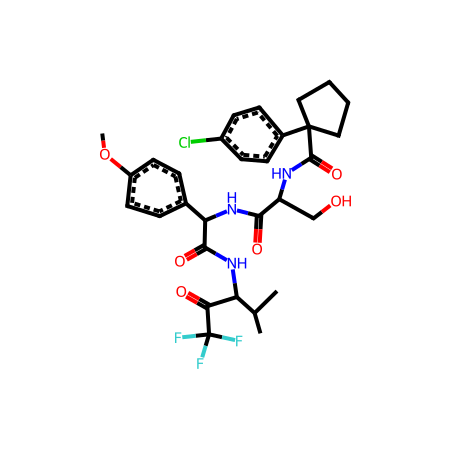 COc1ccc(C(NC(=O)C(CO)NC(=O)C2(c3ccc(Cl)cc3)CCCC2)C(=O)NC(C(=O)C(F)(F)F)C(C)C)cc1